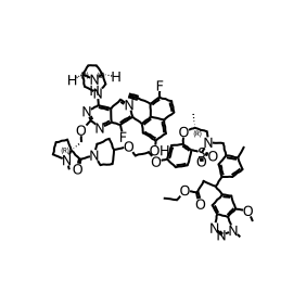 C#Cc1c(F)ccc2cc(O)cc(-c3ncc4c(N5C[C@H]6CC[C@@H](C5)N6)nc(OC[C@@]5(C(=O)N6CCC(OCCOc7ccc8c(c7)O[C@H](C)CN(Cc7cc(C(CC(=O)OCC)c9cc(OC)c%10c(c9)nnn%10C)ccc7C)S8(=O)=O)CC6)CCCN5C)nc4c3F)c12